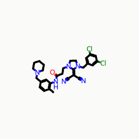 Cc1ccc(CN2CCCCC2)cc1NC(=O)CCN1CCN(Cc2cc(Cl)cc(Cl)c2)C1=C(C#N)C#N